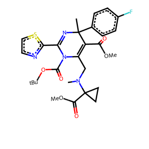 COC(=O)C1=C(CN(C)C2(C(=O)OC)CC2)N(C(=O)OC(C)(C)C)C(c2nccs2)=NC1(C)c1ccc(F)cc1